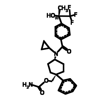 C[C@](O)(c1ccc(C(=O)N(C2CC2)[C@H]2CC[C@](COC(N)=O)(c3ccccc3)CC2)cc1)C(F)(F)F